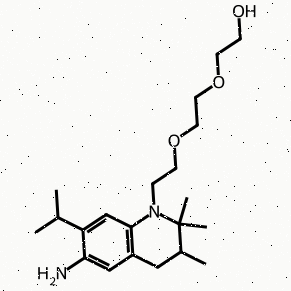 CC(C)c1cc2c(cc1N)CC(C)C(C)(C)N2CCOCCOCCO